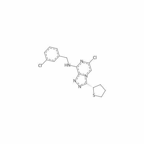 Clc1cccc(CNc2nc(Cl)cn3c([C@@H]4CCCS4)nnc23)c1